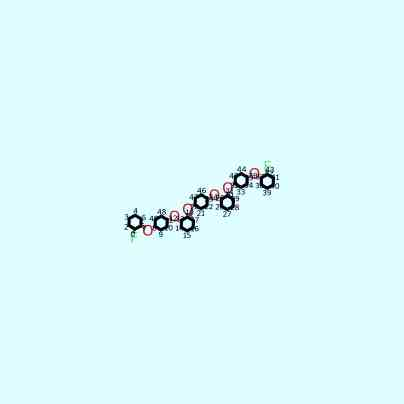 Fc1ccccc1Oc1ccc(Oc2ccccc2Oc2ccc(Oc3ccccc3Oc3ccc(Oc4ccccc4F)cc3)cc2)cc1